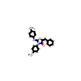 Cc1ccc(N=C2SC(=Cc3ccccc3)C(=O)N2c2ccc(C)cc2)cc1